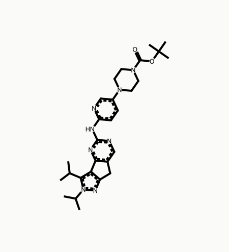 CC(C)c1c2c(nn1C(C)C)Cc1cnc(Nc3ccc(N4CCN(C(=O)OC(C)(C)C)CC4)cn3)nc1-2